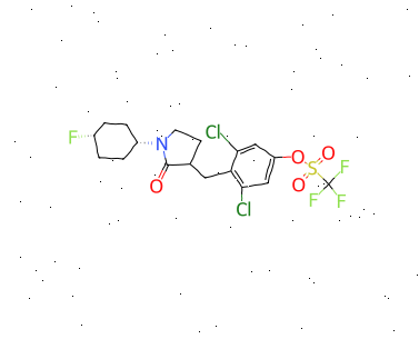 O=C1C(Cc2c(Cl)cc(OS(=O)(=O)C(F)(F)F)cc2Cl)CCN1[C@H]1CC[C@@H](F)CC1